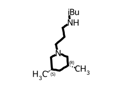 CCC(C)NCCCN1C[C@H](C)C[C@H](C)C1